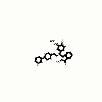 CN1C(=O)c2ccccc2[C@H]1[C@@H](CCN1CCC(c2cccnc2)CC1)c1ccc(Cl)c(Cl)c1.Cl